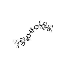 O=C(Nc1ccc(-c2cnc(-c3ccc(NC(=O)[C@@H]4CCCN4C(=O)C(O)C(F)(F)F)cc3)o2)cc1)[C@@H]1CCCN1C(=O)C(O)C(F)(F)F